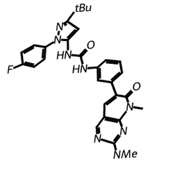 CNc1ncc2cc(-c3cccc(NC(=O)Nc4cc(C(C)(C)C)nn4-c4ccc(F)cc4)c3)c(=O)n(C)c2n1